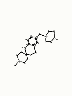 CN1CCC2(CCc3cc(CN4CCOCC4)ccc3O2)CC1